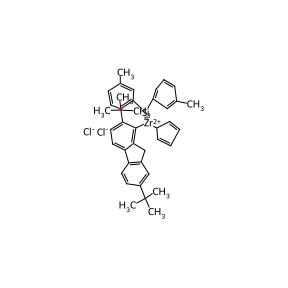 Cc1cccc([Si](c2cccc(C)c2)=[Zr+2]([c]2c(C(C)(C)C)ccc3c2Cc2cc(C(C)(C)C)ccc2-3)[CH]2C=CC=C2)c1.[Cl-].[Cl-]